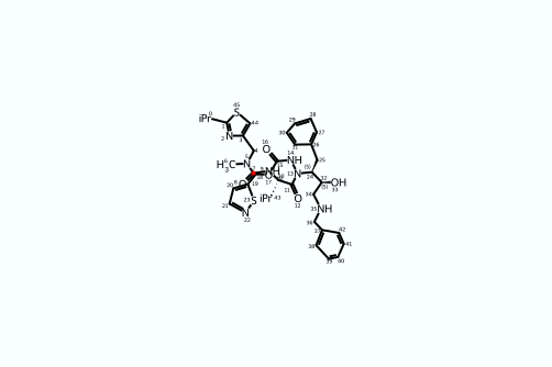 CC(C)c1nc(CN(C)C(=O)N[C@H](C(=O)N(NC(=O)OCc2ccns2)[C@@H](Cc2ccccc2)[C@@H](O)CNCc2ccccc2)C(C)C)cs1